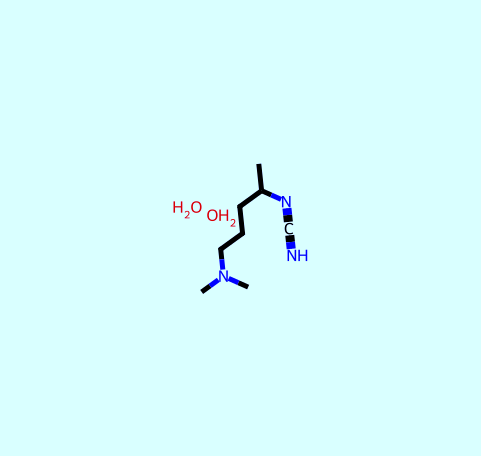 CC(CCCN(C)C)N=C=N.O.O